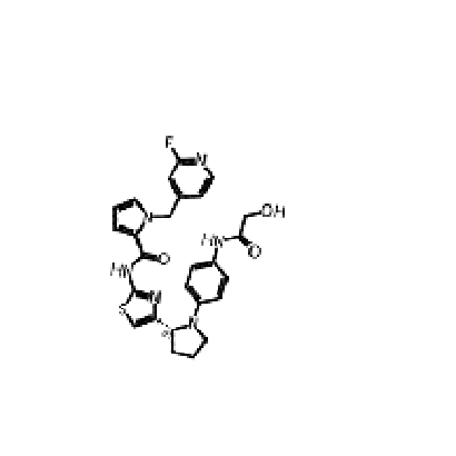 O=C(CO)Nc1ccc(N2CCC[C@@H]2c2csc(NC(=O)c3cccn3Cc3ccnc(F)c3)n2)cc1